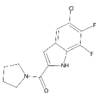 O=C(c1cc2cc(Cl)c(F)c(F)c2[nH]1)N1CCCC1